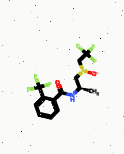 C[C@H](C[S+]([O-])CC(F)(F)F)NC(=O)c1ccccc1C(F)(F)F